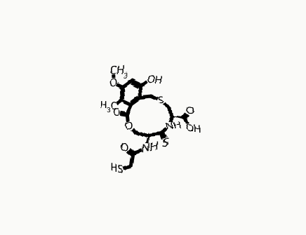 COc1cc(O)c2c(c1C)C(=O)OC[C@H](NC(=O)CS)C(=S)N[C@H](C(=O)O)CSC2